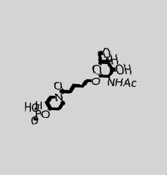 CC(=O)N[C@H]1C(O)[C@H]2OCC2O[C@H]1OCCCCC(=O)N1CCC(O[PH](=O)O)CC1